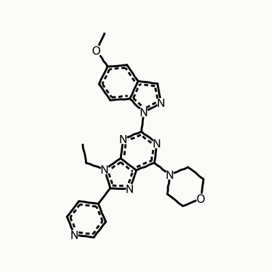 CCn1c(-c2ccncc2)nc2c(N3CCOCC3)nc(-n3ncc4cc(OC)ccc43)nc21